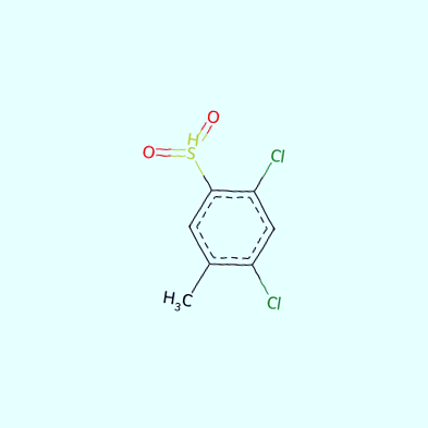 Cc1cc([SH](=O)=O)c(Cl)cc1Cl